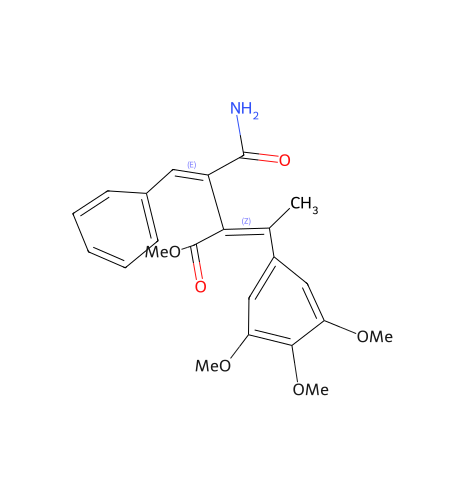 COC(=O)C(=C(/C)c1cc(OC)c(OC)c(OC)c1)/C(=C\c1ccccc1)C(N)=O